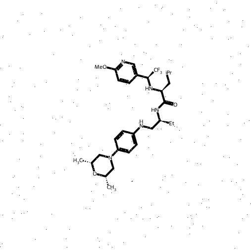 CC[C@@H](CNc1ccc(N2C[C@@H](C)O[C@@H](C)C2)cc1)NC(=O)[C@H](CC(C)C)N[C@@H](c1ccc(OC)nc1)C(F)(F)F